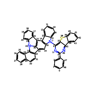 c1ccc(-c2nc(-n3c4ccccc4c4c5c6ccccc6n6c7c8ccccc8ccc7c(cc43)c56)c3sc4ccccc4c3n2)cc1